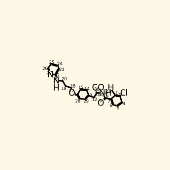 Cc1c(Cl)cccc1C(=O)N[C@@H](Cc1ccc(OCCCNc2ccccn2)cc1)C(=O)O